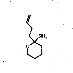 C=CCCC1([SiH3])CCCCO1